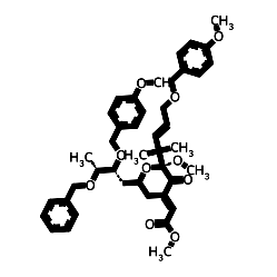 COC(=O)/C=C1\CC(C[C@@H](OCc2ccc(OC)cc2)[C@@H](C)OCc2ccccc2)O[C@@](OC)(C(C)(C)/C=C/COCc2ccc(OC)cc2)C1=O